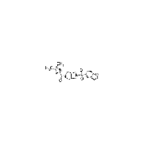 Cc1cc(C(=O)N2CC3=C(C2)CN(S(=O)(=O)c2ccc4occc4c2)C3)nn1C